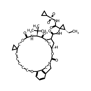 CC[C@H]1C[C@@]1(NC(=O)C1C[C@@H]2CN1C(=O)[C@H](C(C)(C)C)NC(=O)OCC1(CCCCCOc3cccc4c3CN(C4)C(=O)O2)CC1)C(=O)NS(=O)(=O)C1CC1